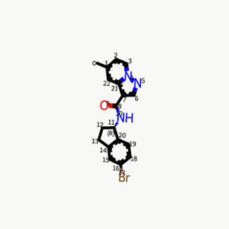 Cc1ccn2ncc(C(=O)N[C@@H]3CCc4cc(Br)ccc43)c2c1